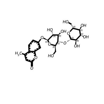 Cc1cc(=O)oc2cc(O[C@@H]3O[C@H](CO)[C@@H](O[C@@H]4O[C@H](CO)[C@@H](O)[C@H](O)[C@H]4O)[C@H](O)[C@H]3O)ccc12